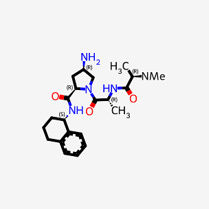 CN[C@H](C)C(=O)N[C@H](C)C(=O)N1C[C@H](N)C[C@@H]1C(=O)N[C@H]1CCCc2ccccc21